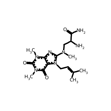 CC(C)=CCn1c(N(C)CC(N)C(N)=O)nc2c1c(=O)n(C)c(=O)n2C